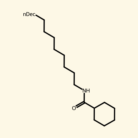 CCCCCCCCCCCCCCCCCCNC(=O)C1CCCCC1